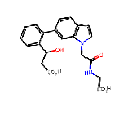 O=C(O)CNC(=O)Cn1ccc2ccc(-c3ccccc3C(O)CC(=O)O)cc21